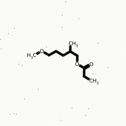 CCC(=O)OC[C](C)CCCOC